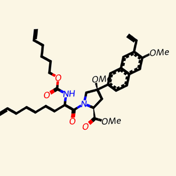 C=CCCCCCC(NC(=O)OCCCCC=C)C(=O)N1C[C@](OC)(c2ccc3cc(OC)c(C=C)cc3c2)C[C@H]1C(=O)OC